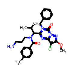 COc1nn2c(=O)n(Cc3ccccc3)c(C(C(C)C)N(CCCN)C(=O)c3ccc(C)cc3)nc2c1Cl